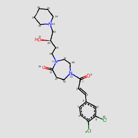 O=C(/C=C/c1ccc(Cl)c(Cl)c1)N1CCC(=O)N(CC[C@@H](O)CN2CCCCC2)CC1